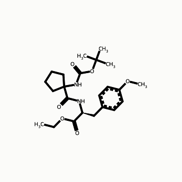 CCOC(=O)[C@H](Cc1ccc(OC)cc1)NC(=O)C1(NC(=O)OC(C)(C)C)CCCC1